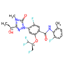 Cc1cccc(F)c1NC(=O)c1cc(F)c(-n2nc([C@H](C)O)n(C)c2=O)cc1O[C@@H](CF)C(F)F